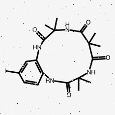 CC1(C)NC(=O)C(C)(C)C(=O)NC(C)(C)C(=O)Nc2cc(I)ccc2NC1=O